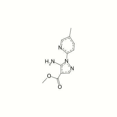 COC(=O)c1cnn(-c2ccc(C)cn2)c1N